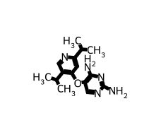 CC(C)c1cc(Oc2cnc(N)nc2N)c(C(C)C)cn1